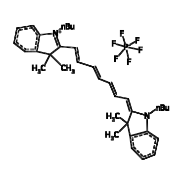 CCCCN1/C(=C/C=C/C=C/C=C/C2=[N+](CCCC)c3ccccc3C2(C)C)C(C)(C)c2ccccc21.F[P-](F)(F)(F)(F)F